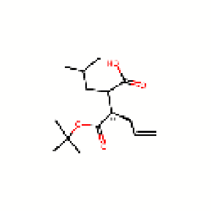 C=CC[C@@H](C(=O)OC(C)(C)C)C(CC(C)C)C(=O)O